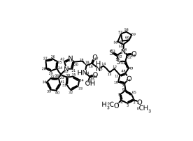 COc1cc(OC)cc(-c2cc(CCCNC(=O)[C@H](Cc3cn(C(c4ccccc4)(c4ccccc4)c4ccccc4)cn3)NC(=O)O)c(/C=C3\SC(=S)N(C4CC5CCC4C5)C3=O)o2)c1